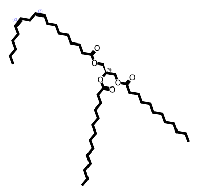 CCCCC/C=C\C/C=C\CCCCCCCC(=O)OC[C@@H](COC(=O)CCCCCCCCCCC)OC(=O)CCCCCCCCCCCCC